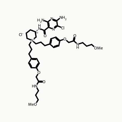 COCCCNC(=O)COc1ccc(CCC[N+]2(CCCc3ccc(OCC(=O)NCCCOC)cc3)CCC[C@H](NC(=O)c3nc(Cl)c(N)nc3N)C2)cc1.[Cl-]